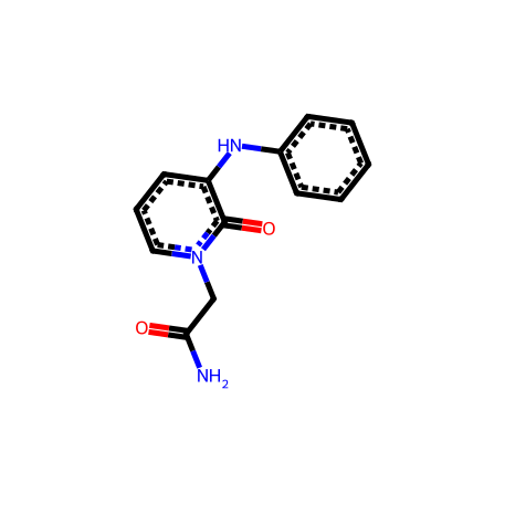 NC(=O)Cn1cccc(Nc2ccccc2)c1=O